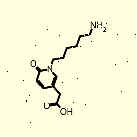 NCCCCCCn1cc(CC(=O)O)ccc1=O